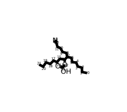 CCCCCCCC(CCCCC#N)C(CCCCCCC)OC(=O)O